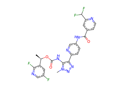 C[C@@H](OC(=O)Nc1c(-c2ccc(NC(=O)c3ccnc(C(F)F)c3)cn2)nnn1C)c1cc(F)cnc1F